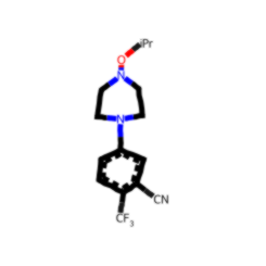 CC(C)ON1CCN(c2ccc(C(F)(F)F)c(C#N)c2)CC1